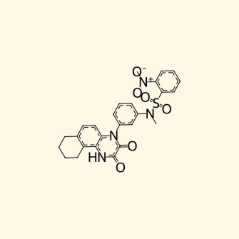 CN(c1cccc(-n2c(=O)c(=O)[nH]c3c4c(ccc32)CCCC4)c1)S(=O)(=O)c1ccccc1[N+](=O)[O-]